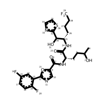 CC(O)CC[C@H](NC(=O)c1cnc(-c2cc(F)ccc2F)o1)C(=O)N[C@@H](CCCC(F)(F)F)C(O)c1nccs1